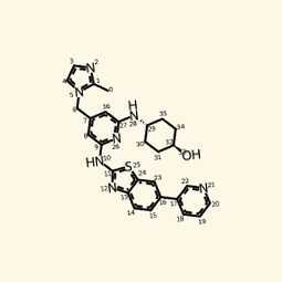 Cc1nccn1Cc1cc(Nc2nc3ccc(-c4cccnc4)cc3s2)nc(N[C@H]2CC[C@H](O)CC2)c1